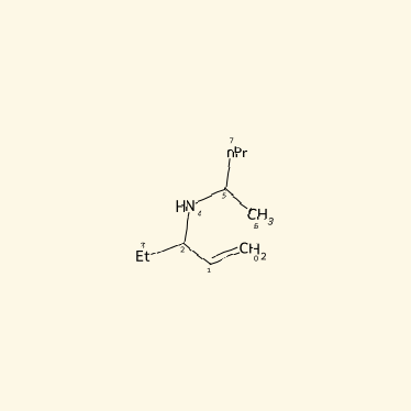 C=CC(CC)NC(C)CCC